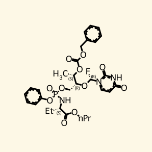 CCCOC(=O)[C@H](CC)NP(=O)(OC[C@@H](O[C@H](F)n1ccc(=O)[nH]c1=O)[C@H](C)OC(=O)OCc1ccccc1)Oc1ccccc1